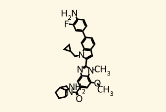 COc1cc(C(=O)N2CC3CCC2C3N)cc2nc(-c3cc4ccc(-c5ccc(N)c(F)c5)cc4n3CC3CC3)n(C)c12